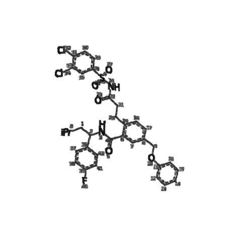 CC(C)CC(NC(=O)c1cc(COc2ccccc2)ccc1CCC(=O)NS(=O)(=O)c1ccc(Cl)c(Cl)c1)c1ccc(F)cc1